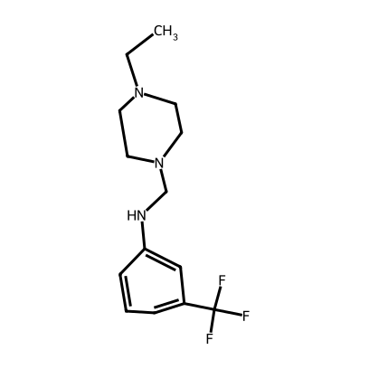 CCN1CCN(CNc2cccc(C(F)(F)F)c2)CC1